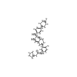 Cc1ccc(NC(=O)CN2CCCC2)cc1N1CCC2=NC(Nc3ccc(N4CCN(C)CC4)cc3)NC=C2C1